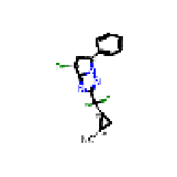 N#C[C@H]1C[C@@H]1C(F)(F)c1nc2n(n1)[C@H](c1ccccc1)C[C@@H]2F